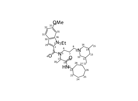 CCn1c(C(=O)N(CCCN2CC(C)CC(C)C2)C(C)C(=O)NC2CCCCCC2)cc2ccc(OC)cc21